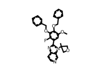 COc1cc(-c2nc3ccncc3n2C2(C)COC2)c(F)c(OCc2ccccc2)c1OCc1ccccc1